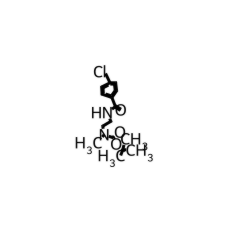 CN(CCNC(=O)c1ccc(Cl)cc1)C(=O)OC(C)(C)C